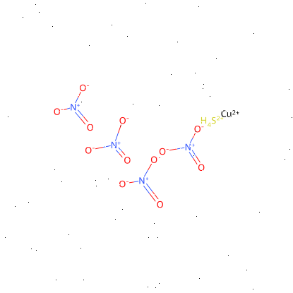 O=[N+]([O-])[O-].O=[N+]([O-])[O-].O=[N+]([O-])[O-].O=[N+]([O-])[O-].[Cu+2].[SH4+2]